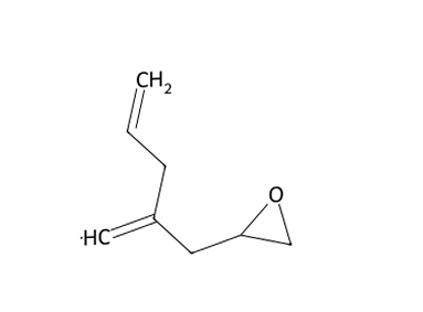 [CH]=C(CC=C)CC1CO1